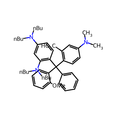 CCCCN(CCCC)c1ccc(C(c2ccccc2)(c2ccccc2OC)c2ccc(N(C)C)cc2C(=O)O)c(N(CCCC)CCCC)c1